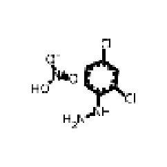 NNc1ccc(Cl)cc1Cl.O=[N+]([O-])O